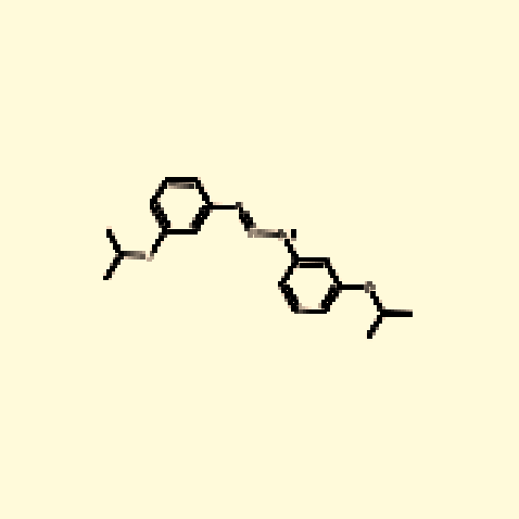 CC(C)Oc1cccc(/N=N/Nc2cccc(OC(C)C)c2)c1